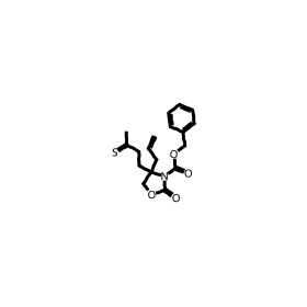 C=CCC1(CCC(C)=S)COC(=O)N1C(=O)OCc1ccccc1